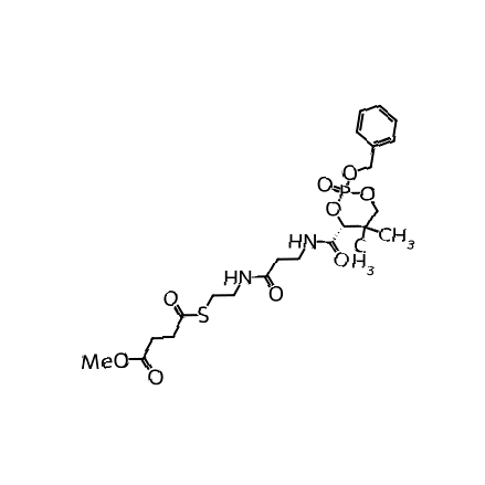 COC(=O)CCC(=O)SCCNC(=O)CCNC(=O)[C@@H]1OP(=O)(OCc2ccccc2)OCC1(C)C